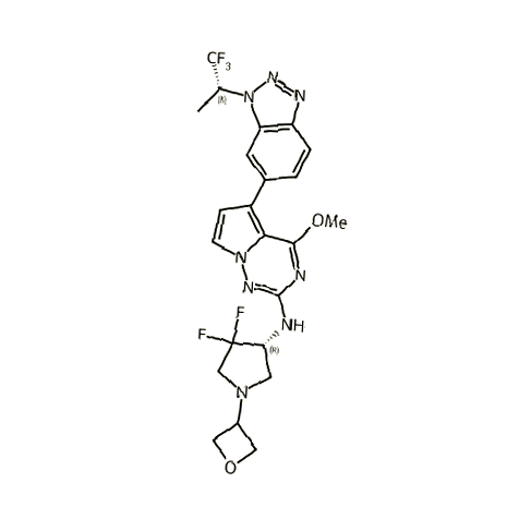 COc1nc(N[C@@H]2CN(C3COC3)CC2(F)F)nn2ccc(-c3ccc4nnn([C@H](C)C(F)(F)F)c4c3)c12